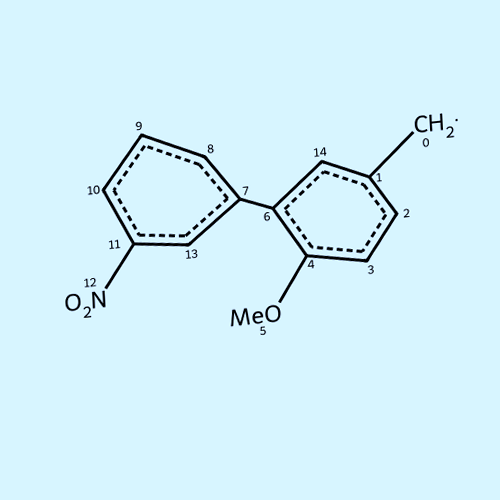 [CH2]c1ccc(OC)c(-c2cccc([N+](=O)[O-])c2)c1